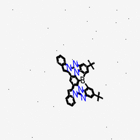 CC(C)(C)c1cc2c3c(c1)nc1n4c5ccccc5cc4c4cc5c6cc7ccccc7n6c6nc7cc(C(C)(C)C)cc8c7n6c5c(c4n31)B28